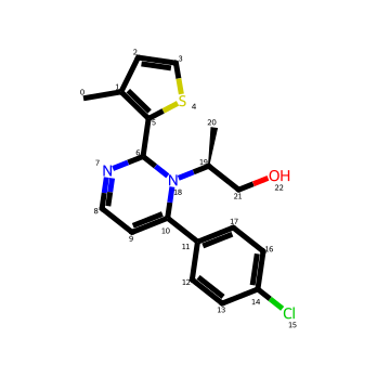 Cc1ccsc1C1N=CC=C(c2ccc(Cl)cc2)N1[C@@H](C)CO